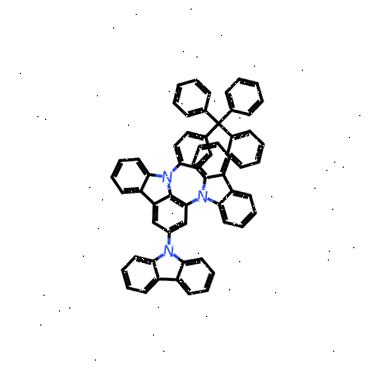 c1ccc(C(c2ccccc2)(c2ccccc2)c2ccc(-n3c4ccccc4c4cc(-n5c6ccccc6c6ccccc65)cc(-n5c6ccccc6c6ccccc65)c43)cc2)cc1